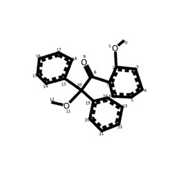 COc1ccccc1C(=O)C(OC)(c1ccccc1)c1ccccc1